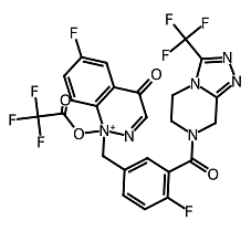 O=C1C=N[N+](Cc2ccc(F)c(C(=O)N3CCn4c(nnc4C(F)(F)F)C3)c2)(OC(=O)C(F)(F)F)c2ccc(F)cc21